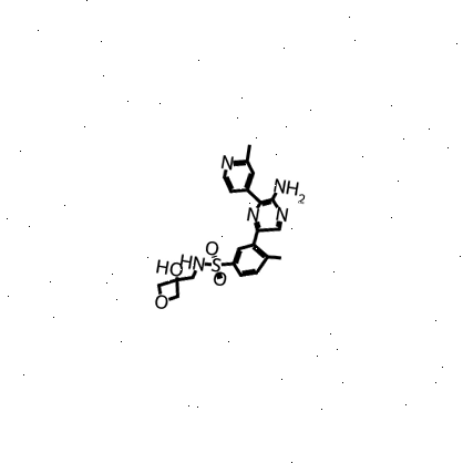 Cc1cc(-c2nc(-c3cc(S(=O)(=O)NCC4(O)COC4)ccc3C)cnc2N)ccn1